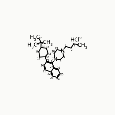 CCCCN1CCN(c2c(C3CCC(C(C)(C)C)CC3)ccc3ccccc23)CC1.Cl